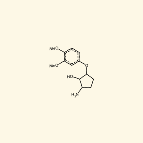 COc1ccc(OC2CCC(N)C2O)cc1OC